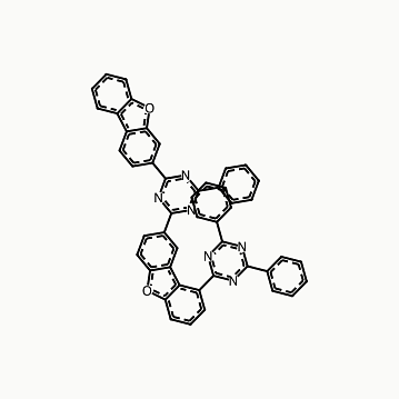 c1ccc(-c2nc(-c3ccc4c(c3)oc3ccccc34)nc(-c3ccc4oc5cccc(-c6nc(-c7ccccc7)nc(-c7ccccc7)n6)c5c4c3)n2)cc1